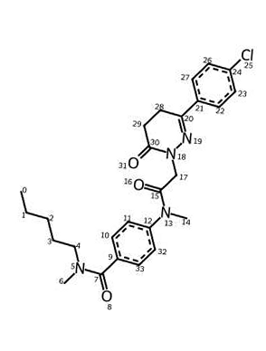 CCCCCN(C)C(=O)c1ccc(N(C)C(=O)CN2N=C(c3ccc(Cl)cc3)CCC2=O)cc1